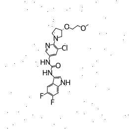 COCCO[C@H]1CCN(c2ncc(NC(=O)Nc3c[nH]c4cc(F)c(F)cc34)cc2Cl)C1